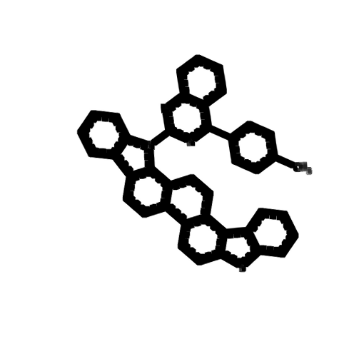 Cc1ccc(-c2nc(-n3c4ccccc4c4ccc5c6ccc7sc8ccccc8c7c6ccc5c43)nc3ccccc23)cc1